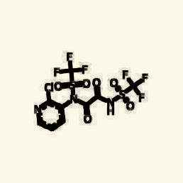 O=C(NS(=O)(=O)C(F)(F)F)C(=O)N(c1cccnc1Cl)S(=O)(=O)C(F)(F)F